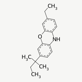 CCc1ccc2c(c1)Oc1cc(C(C)(C)CC)ccc1N2